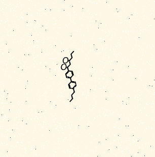 CCCCc1ccc(-c2ccc(C(=O)CC(=O)CCC)cc2)cc1